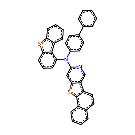 c1ccc(-c2ccc(N(c3cc4sc5c6ccccc6ccc5c4cn3)c3cccc4sc5ccccc5c34)cc2)cc1